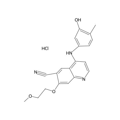 COCCOc1cc2nccc(Nc3ccc(C)c(O)c3)c2cc1C#N.Cl